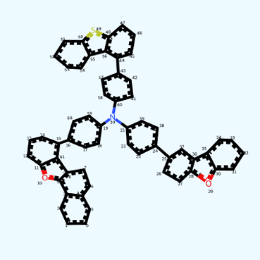 c1ccc2c(c1)ccc1c2oc2cccc(-c3ccc(N(c4ccc(-c5ccc6oc7ccccc7c6c5)cc4)c4ccc(-c5cccc6sc7ccccc7c56)cc4)cc3)c21